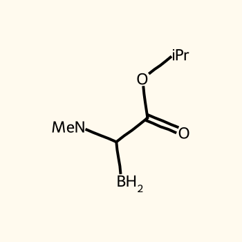 BC(NC)C(=O)OC(C)C